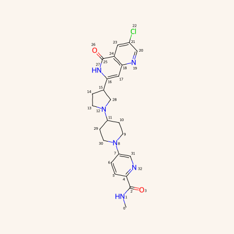 CNC(=O)c1ccc(N2CCC(N3CCC(c4cc5ncc(Cl)cc5c(=O)[nH]4)C3)CC2)cn1